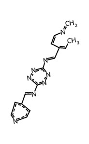 C=N\C=C/C(/C=N/c1nnc(/N=C/c2ccncc2)nn1)=C\C